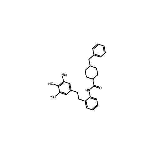 CC(C)(C)c1cc(CCc2ccccc2NC(=O)N2CCC(Cc3ccccc3)CC2)cc(C(C)(C)C)c1O